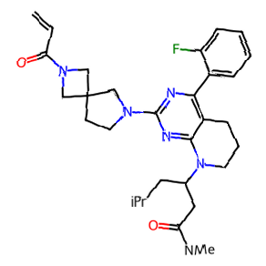 C=CC(=O)N1CC2(CCN(c3nc(-c4ccccc4F)c4c(n3)N(C(CC(=O)NC)CC(C)C)CCC4)C2)C1